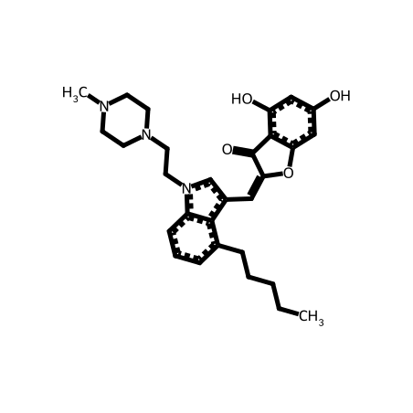 CCCCCc1cccc2c1c(C=C1Oc3cc(O)cc(O)c3C1=O)cn2CCN1CCN(C)CC1